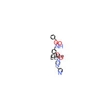 CCC(Oc1cc(CNC(=O)OCc2ccccc2)ccc1OC)C(=O)N1CCN(Cc2cccnc2)CC1